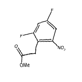 COC(=O)Cc1c(F)cc(F)cc1[N+](=O)[O-]